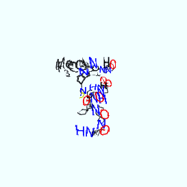 CO[C@@H](C)c1ncc(N2CCN3CCOC[C@@H]3C2)cc1-c1c2c3cc(ccc3n1CC(F)(F)F)-c1csc(n1)C[C@H](NC(=O)[C@H](C1CCCC1)N1CCOC3(CN(C(=O)[C@H]4CN4)C3)C1)C(=O)N1CCC[C@H](N1)C(=O)OCC(C)(C)C2